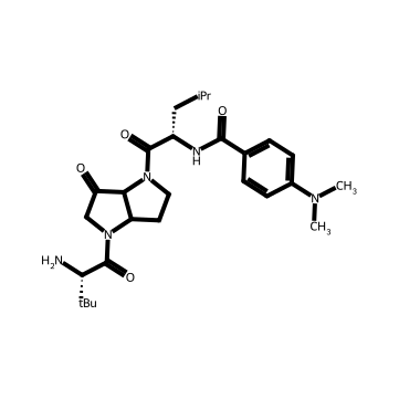 CC(C)C[C@H](NC(=O)c1ccc(N(C)C)cc1)C(=O)N1CCC2C1C(=O)CN2C(=O)[C@@H](N)C(C)(C)C